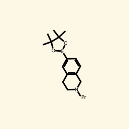 CC(C)N1CCc2cc(B3OC(C)(C)C(C)(C)O3)ccc2C1